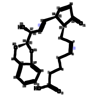 O=C(O)CCC/C=C\C[C@H]1C(=O)C=C[C@@H]1/C=C/[C@H](O)[C@H]1OCc2ccccc2O1